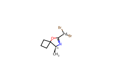 C[C@@H]1N=[C]([Pd]([Br])[Br])OC12CCC2